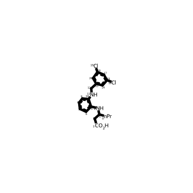 CCCC(CC(=O)O)Nc1ccccc1NCc1cc(Cl)cc(Cl)c1